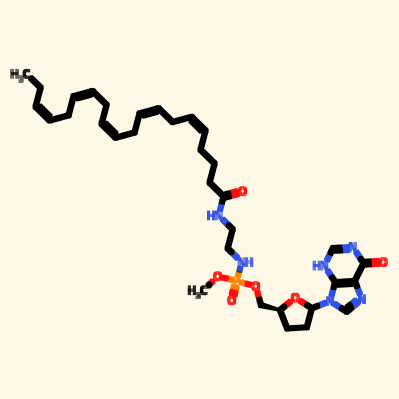 CC/C=C\C/C=C\C/C=C\C/C=C\C/C=C\CCCC(=O)NCCNP(=O)(OC)OC[C@@H]1CCC(n2cnc3c(=O)nc[nH]c32)O1